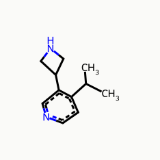 CC(C)c1ccncc1C1CNC1